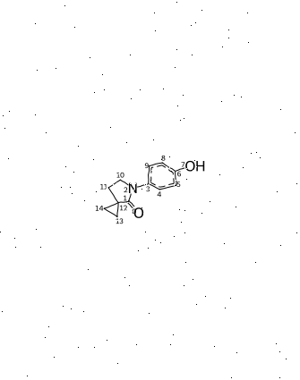 O=C1N(c2ccc(O)cc2)CCC12CC2